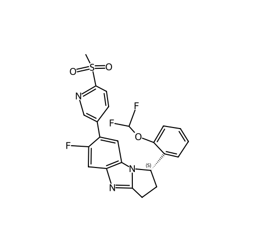 CS(=O)(=O)c1ccc(-c2cc3c(cc2F)nc2n3[C@H](c3ccccc3OC(F)F)CC2)cn1